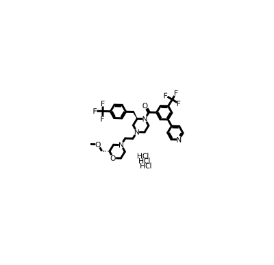 COC[C@@H]1CN(CCN2CCN(C(=O)c3cc(-c4ccncc4)cc(C(F)(F)F)c3)[C@H](Cc3ccc(C(F)(F)F)cc3)C2)CCO1.Cl.Cl.Cl